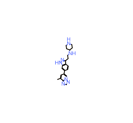 Cc1cc(-c2ccc3c(CCNC4CCNCC4)n[nH]c3c2)cn2ncnc12